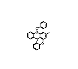 Cc1cc2c3c(c1)B(Oc1ccccc1)c1ccccc1N3c1ccccc1S2